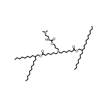 CCCCCCCCCCC(CCCCCCCC)COC(=O)CCCCCN(CCCCCC(=O)OCC(CCCCCCCC)CCCCCCCCCC)CCCOC(=O)NCCN(C)C